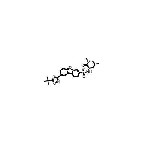 COC(=O)C(CC(C)C)NS(=O)(=O)c1ccc2c(c1)oc1ccc(-c3noc(C(C)(C)C)n3)cc12